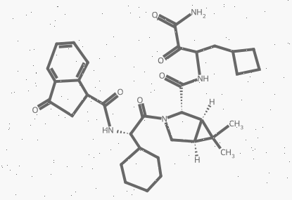 CC1(C)[C@@H]2[C@@H](C(=O)NC(CC3CCC3)C(=O)C(N)=O)N(C(=O)[C@@H](NC(=O)C3CC(=O)c4ccccc43)C3CCCCC3)C[C@@H]21